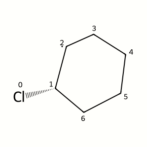 Cl[C@@H]1[CH]CCCC1